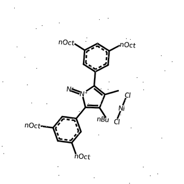 CCCCCCCCc1cc(CCCCCCCC)cc(C2=C(C)C(CCCC)=C(c3cc(CCCCCCCC)cc(CCCCCCCC)c3)[N+]2=[N-])c1.[Cl][Ni][Cl]